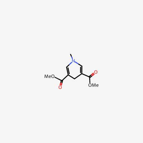 COC(=O)C1=CN(C)C=C(C(=O)OC)C1